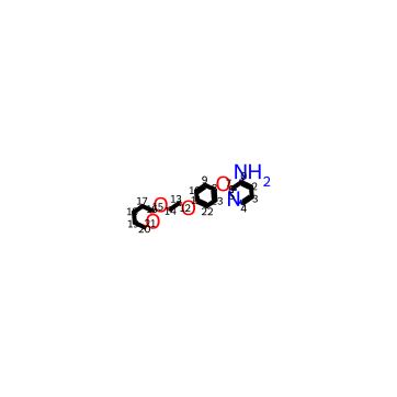 Nc1cccnc1Oc1ccc(OCCOC2CCCCO2)cc1